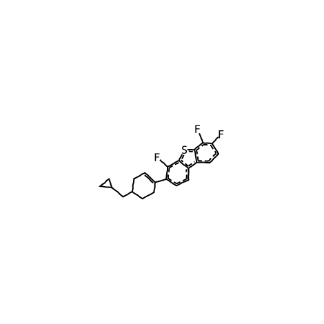 Fc1ccc2c(sc3c(F)c(C4=CCC(CC5CC5)CC4)ccc32)c1F